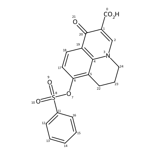 O=C(O)c1cn2c3c(c(OS(=O)(=O)c4ccccc4)ccc3c1=O)CCC2